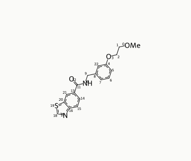 COCCOc1cccc(CNC(=O)c2ccc3ncsc3c2)c1